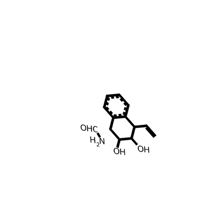 C=CC1c2ccccc2CC(O)C1O.NC=O